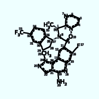 C[C@H](c1ncccn1)N(C(=O)c1cc2c(cc1F)nc(N)c1cnn(C)c12)[C@@H]1CCc2cc(C(F)(F)F)ccc21